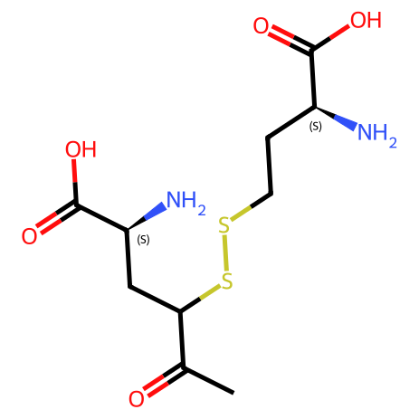 CC(=O)C(C[C@H](N)C(=O)O)SSCC[C@H](N)C(=O)O